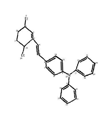 CCC1C=C(C=Cc2ccc(N(c3ccccc3)c3ccccc3)cc2)C(CC)CC1